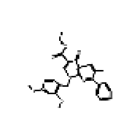 CCOC(=O)c1cn(Cc2ccc(OC)cc2OC)c2nc(-c3ccccc3)c(F)cc2c1=O